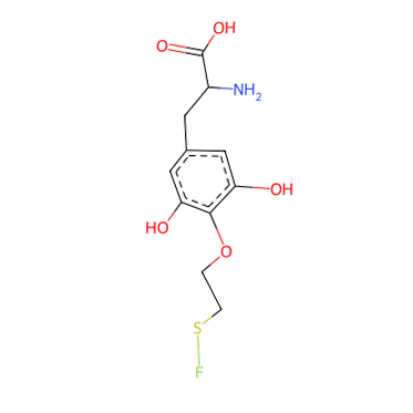 NC(Cc1cc(O)c(OCCSF)c(O)c1)C(=O)O